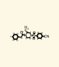 C[C@H]1CN(S(=O)(=O)c2ccc(C#N)cc2)CCN1C(=O)Cc1ccccc1